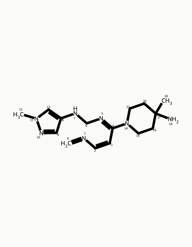 C=N/C=C\C(=N/CNc1cnn(C)c1)N1CCC(C)(N)CC1